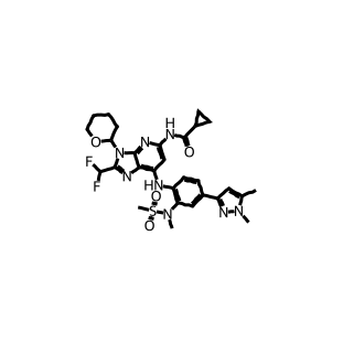 Cc1cc(-c2ccc(Nc3cc(NC(=O)C4CC4)nc4c3nc(C(F)F)n4C3CCCCO3)c(N(C)S(C)(=O)=O)c2)nn1C